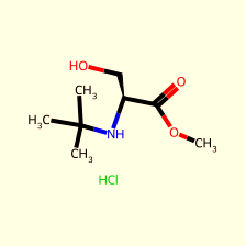 COC(=O)[C@H](CO)NC(C)(C)C.Cl